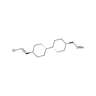 COC[C@H]1CC[C@H]([C@H]2CC[C@H](/C=C/Cl)CC2)CC1